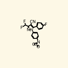 N#Cc1c(C(F)F)nn(-c2ccc(N=S(=O)=O)cc2)c1-c1ccc(F)cc1